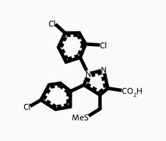 CSCc1c(C(=O)O)nn(-c2ccc(Cl)cc2Cl)c1-c1ccc(Cl)cc1